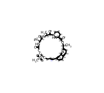 CC(C)[C@@H]1NC(=O)CCN(S(C)(=O)=O)CC/C=C/c2ccc3ccc(nc3c2)[C@@H](C)OC(=O)[C@@H]2CCCN(N2)C(=O)[C@H](C)NC1=O